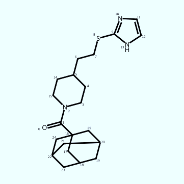 O=C(N1CCC(CCSc2ncc[nH]2)CC1)C12CC3CC(CC(C3)C1)C2